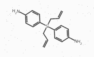 C=CC[Si](CC=C)(c1ccc(N)cc1)c1ccc(N)cc1